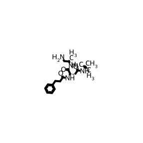 CC(CN)NC(=O)[C@H](CC(=O)NC(C)(C)C)NC(=O)CCc1ccccc1